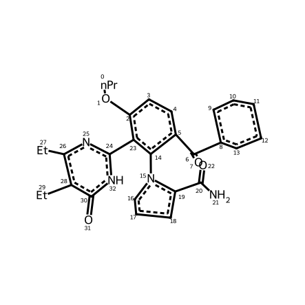 CCCOc1ccc(C(=O)c2ccccc2)c(-n2cccc2C(N)=O)c1-c1nc(CC)c(CC)c(=O)[nH]1